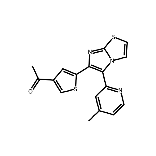 CC(=O)c1csc(-c2nc3sccn3c2-c2cc(C)ccn2)c1